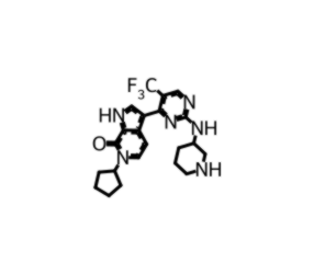 O=c1c2[nH]cc(-c3nc(NC4CCCNC4)ncc3C(F)(F)F)c2ccn1C1CCCC1